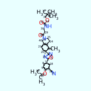 Cc1c(-c2noc(-c3ccc(OC(C)C)c(C#N)c3)n2)ccc2c1CCN(C(=O)CCNC(=O)OCC(C)(C)C)C2